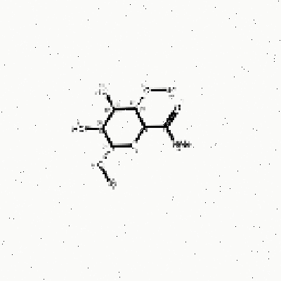 CNC(=O)C1O[C@H](OC(C)C)[C@@H](O)[C@@H](O)[C@@H]1OC(C)C